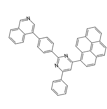 c1ccc(-c2cc(-c3ccc4ccc5cccc6ccc3c4c56)nc(-c3ccc(-c4cncc5ccccc45)cc3)n2)cc1